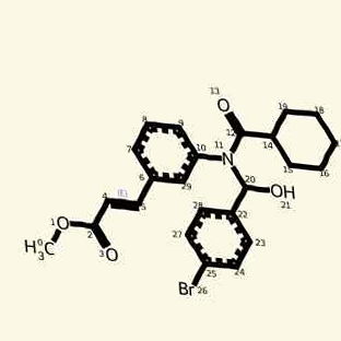 COC(=O)/C=C/c1cccc(N(C(=O)C2CCCCC2)C(O)c2ccc(Br)cc2)c1